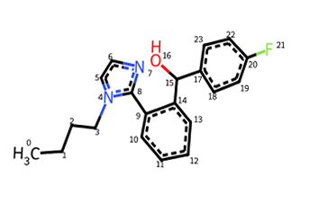 CCCCn1ccnc1-c1ccccc1C(O)c1ccc(F)cc1